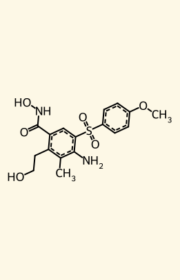 COc1ccc(S(=O)(=O)c2cc(C(=O)NO)c(CCO)c(C)c2N)cc1